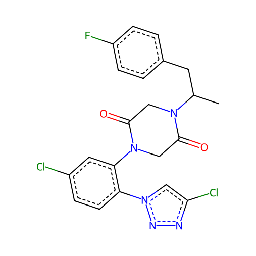 CC(Cc1ccc(F)cc1)N1CC(=O)N(c2cc(Cl)ccc2-n2cc(Cl)nn2)CC1=O